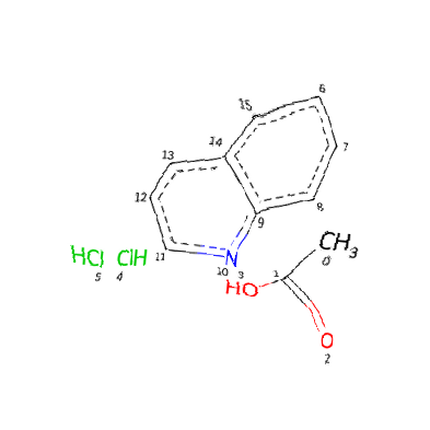 CC(=O)O.Cl.Cl.c1ccc2ncccc2c1